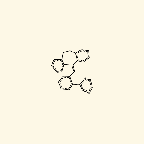 C(=C1c2ccccc2CCc2ccccc21)c1ccccc1-c1cnccn1